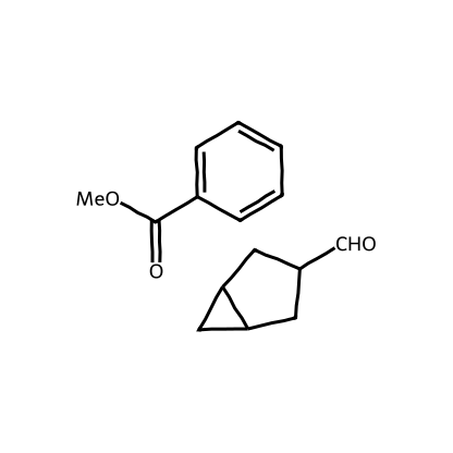 COC(=O)c1ccccc1.O=CC1CC2CC2C1